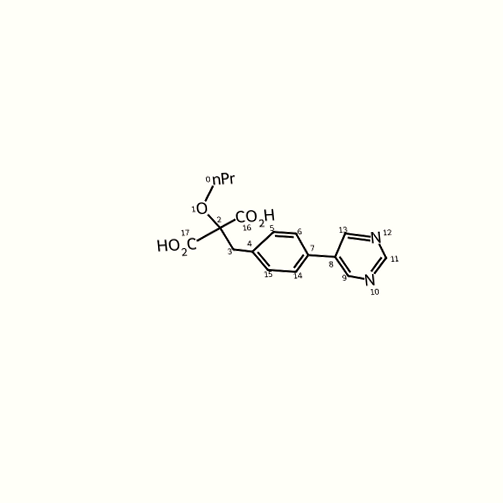 CCCOC(Cc1ccc(-c2cncnc2)cc1)(C(=O)O)C(=O)O